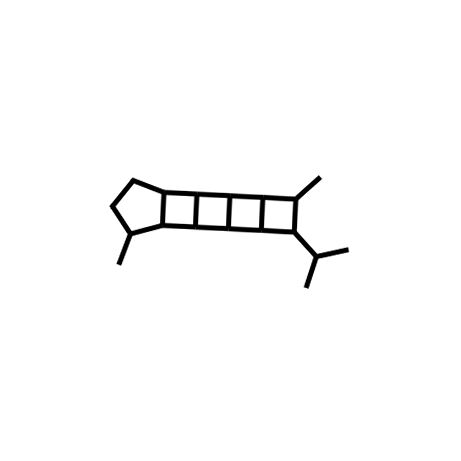 CC(C)C1C(C)C2C1C1C3C4C(C)CCC4C3C21